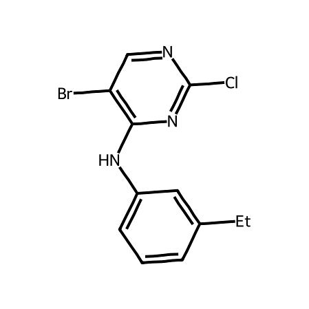 CCc1cccc(Nc2nc(Cl)ncc2Br)c1